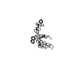 CCOC(=O)C(CC(=O)OC(C)(C)C)=C(OCOC)C(=O)N(Cc1ccc2ccccc2c1)C(C)C(C=O)Cc1ccc(C(=O)Nc2ccccc2)o1